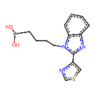 OB(O)CCCCn1c(-c2cscn2)nc2ccccc21